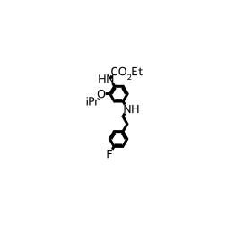 CCOC(=O)Nc1ccc(NCCc2ccc(F)cc2)cc1OC(C)C